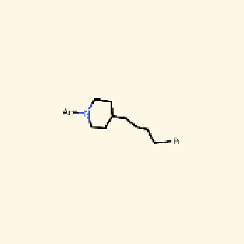 CC(=O)N1CCC(CCCCC(C)C)CC1